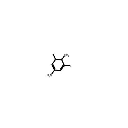 CC1=CC(N)=CC(C)C1N